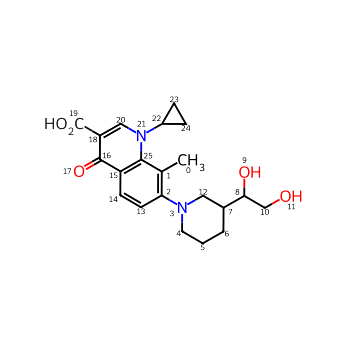 Cc1c(N2CCCC(C(O)CO)C2)ccc2c(=O)c(C(=O)O)cn(C3CC3)c12